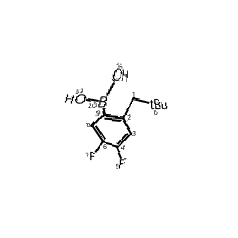 CC(C)(C)Cc1cc(F)c(F)cc1B(O)O